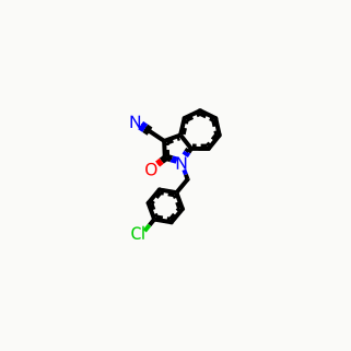 N#Cc1c2cccccc-2n(Cc2ccc(Cl)cc2)c1=O